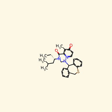 CC[C@@H](CC(C)C)N1CN(C2c3ccccc3CSc3ccccc32)n2ccc(=O)c(C)c2C1=O